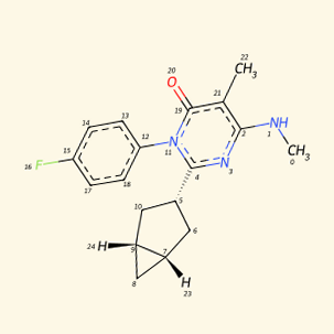 CNc1nc([C@@H]2C[C@@H]3C[C@@H]3C2)n(-c2ccc(F)cc2)c(=O)c1C